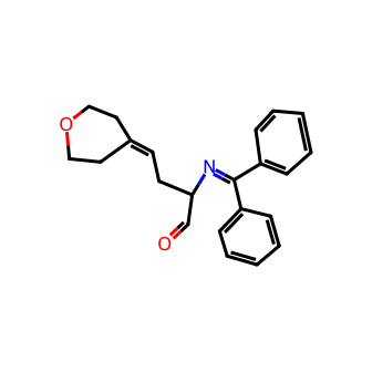 O=CC(CC=C1CCOCC1)N=C(c1ccccc1)c1ccccc1